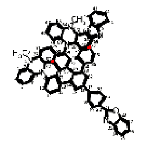 CN1c2ccccc2N(c2cccc(-c3cc(-c4ccc(-c5nc6ccccc6o5)cc4)cc(-c4ccc(-c5nc6ccccc6o5)cc4)c3-c3cccc(N4c5ccccc5N(C)c5ccccc54)c3)c2)c2ccccc21